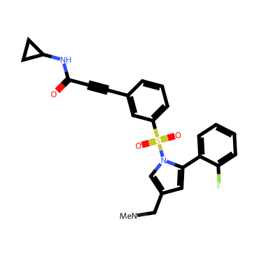 CNCc1cc(-c2ccccc2F)n(S(=O)(=O)c2cccc(C#CC(=O)NC3CC3)c2)c1